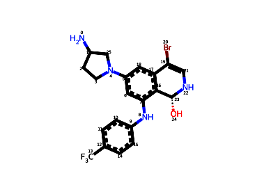 NC1CCN(c2cc(Nc3ccc(C(F)(F)F)cc3)c3c(c2)C(Br)=CN[C@@H]3O)C1